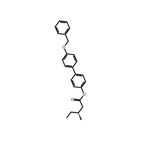 CC[C@H](C)CC(=O)Oc1ccc(-c2ccc(OCc3ccccc3)cc2)cc1